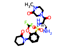 CN1CCN(C(=O)[C@H](CN)NS(=O)(=O)c2cccc(N3CCCCC3=O)c2OC(F)F)CC1=O